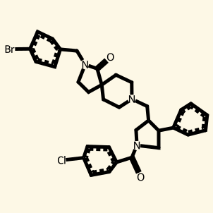 O=C(c1ccc(Cl)cc1)N1CC(CN2CCC3(CC2)CCN(Cc2ccc(Br)cc2)C3=O)C(c2ccccc2)C1